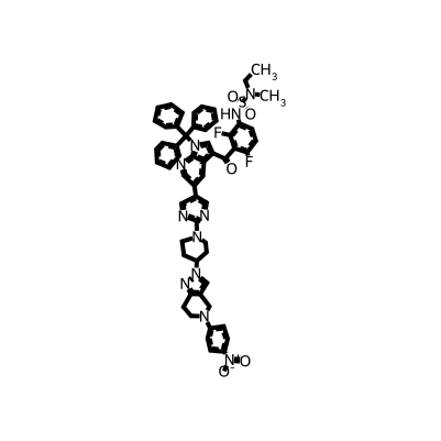 CCN(C)S(=O)(=O)Nc1ccc(F)c(C(=O)c2cn(C(c3ccccc3)(c3ccccc3)c3ccccc3)c3ncc(-c4cnc(N5CCC(n6cc7c(n6)CCN(c6ccc([N+](=O)[O-])cc6)C7)CC5)nc4)cc23)c1F